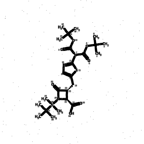 CC(C)(C)OC(=O)N(C(=O)OC(C)(C)C)c1ncc(C[C@H]2C(=O)N([Si](C)(C)C(C)(C)C)[C@@H]2C(=O)O)s1